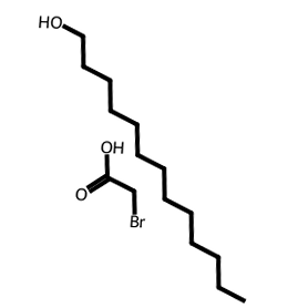 CCCCCCCCCCCCCO.O=C(O)CBr